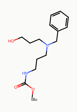 CC(C)(C)OC(=O)NCCCN(CCCO)Cc1ccccc1